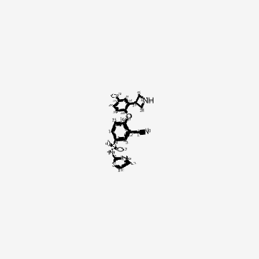 N#Cc1cc(S(=O)(=O)Nc2nccs2)ccc1Oc1ccc(Cl)cc1C1CNC1